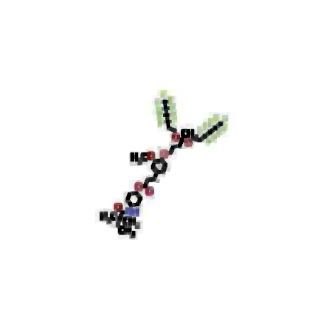 CCC(C)(C)C(=O)N[C@H]1CC[C@H](OC(=O)/C=C/c2ccc(OCCCC(C)(OCCC(F)(F)C(F)(F)C(F)(F)C(F)(F)F)OCCC(F)(F)C(F)(F)C(F)(F)C(F)(F)F)c(OC)c2)CC1